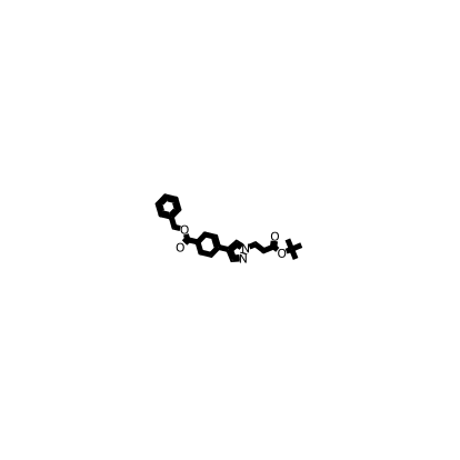 CC(C)(C)OC(=O)CCn1cc(C2=CCC(C(=O)OCc3ccccc3)CC2)cn1